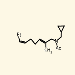 CC/C=C\CC/C=C(\C)CN(CC1CC1)C(C)=O